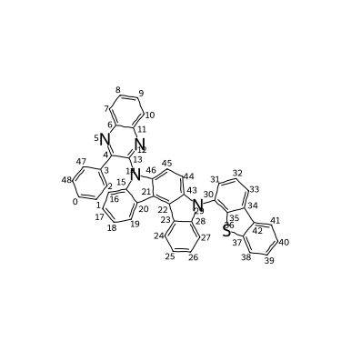 c1ccc(-c2nc3ccccc3nc2-n2c3ccccc3c3c4c5ccccc5n(-c5cccc6c5sc5ccccc56)c4ccc32)cc1